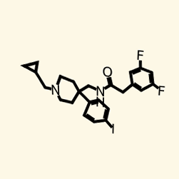 O=C(Cc1cc(F)cc(F)c1)NCC1(c2ccc(I)cc2)CCN(CC2CC2)CC1